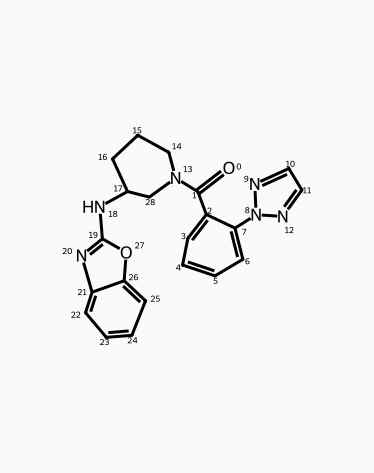 O=C(c1ccccc1-n1nccn1)N1CCCC(Nc2nc3ccccc3o2)C1